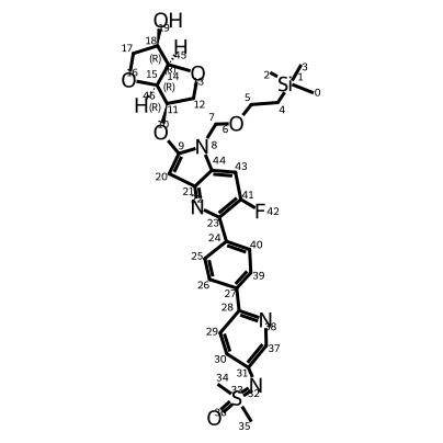 C[Si](C)(C)CCOCn1c(O[C@@H]2CO[C@H]3[C@@H]2OC[C@H]3O)cc2nc(-c3ccc(-c4ccc(N=S(C)(C)=O)cn4)cc3)c(F)cc21